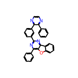 c1ccc(-c2nccnc2-c2cccc(-c3nc(-c4ccccc4)c4oc5ccccc5c4n3)c2)cc1